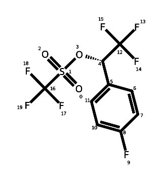 O=S(=O)(O[C@@H](c1ccc(F)cc1)C(F)(F)F)C(F)(F)F